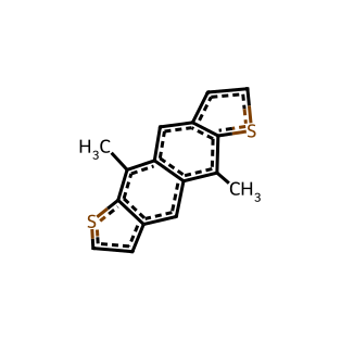 Cc1c2cc3ccsc3c(C)c2cc2ccsc12